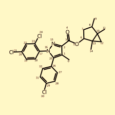 Cc1c(C(=O)OC2CC(C)C3(C)CC23C)nn(-c2ccc(Cl)cc2Cl)c1-c1ccc(Cl)cc1